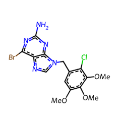 COc1cc(Cn2cnc3c(Br)nc(N)nc32)c(Cl)c(OC)c1OC